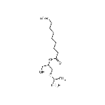 CCCCCCCCCCCCCCCCCC(=O)OC(CO)COC(C)C(=O)O